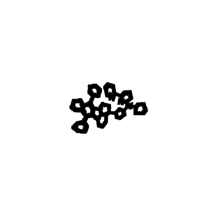 c1ccc(-c2c3c(c(-c4ccccc4)c4ccccc24)-c2ccc(-c4cccc(N(c5ccccc5)c5cccc(-c6ccccn6)n5)c4)c4cccc-3c24)cc1